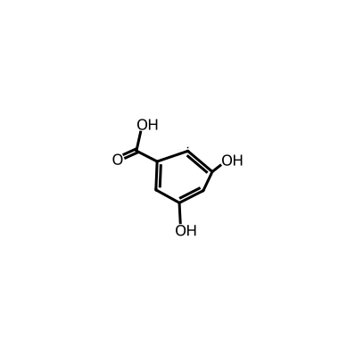 O=C(O)c1[c]c(O)cc(O)c1